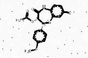 COc1ccc([C@H]2Sc3cc(Cl)ccc3NC(=O)[C@H]2OC(C)=O)cc1